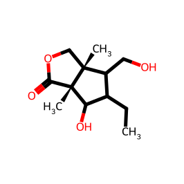 CCC1C(O)[C@]2(C)C(=O)OC[C@]2(C)C1CO